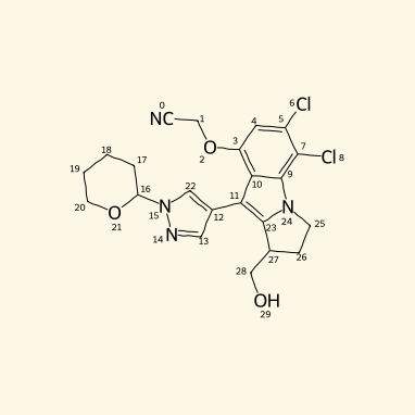 N#CCOc1cc(Cl)c(Cl)c2c1c(-c1cnn(C3CCCCO3)c1)c1n2CCC1CO